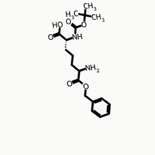 CC(C)(C)OC(=O)N[C@H](CCCC(N)C(=O)OCc1ccccc1)C(=O)O